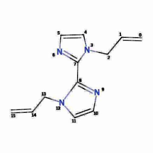 C=CCn1ccnc1-c1nccn1CC=C